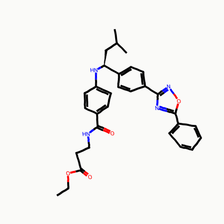 CCOC(=O)CCNC(=O)c1ccc(N[C@@H](CC(C)C)c2ccc(-c3noc(-c4ccccc4)n3)cc2)cc1